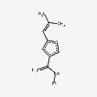 C=C(NCC)c1csc(C=C(C)C)c1